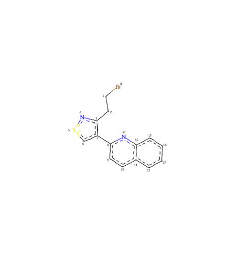 BrCCc1nscc1-c1ccc2ccccc2n1